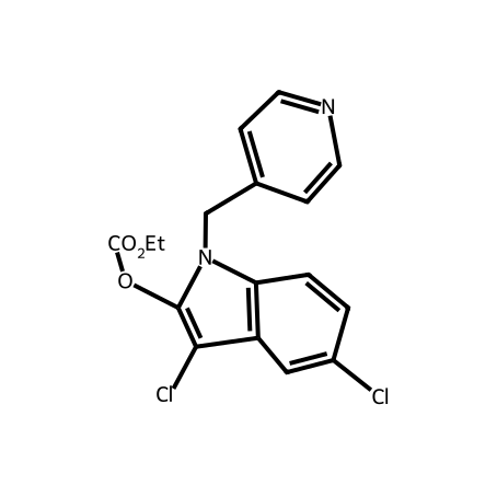 CCOC(=O)Oc1c(Cl)c2cc(Cl)ccc2n1Cc1ccncc1